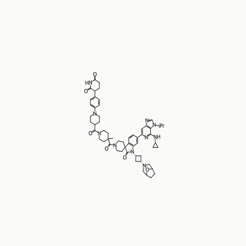 CC(C)n1cnc2cc(-c3ccc4c(c3)N([C@H]3C[C@@H](N5CC6CCC(C5)O6)C3)C(=O)C43CCN(C(=O)C4(C)CCN(C(=O)C5CCN(c6ccc(C7CCC(=O)NC7=O)cc6)CC5)CC4)CC3)nc(NC3CC3)c21